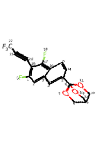 Fc1cc2cc(C34OCC(CO3)CO4)ccc2c(F)c1C#CC(F)(F)F